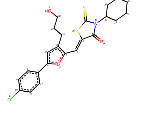 O=C1/C(=C/c2oc(-c3ccc(Cl)cc3)cc2CCCO)SC(=S)N1C1CCCCC1